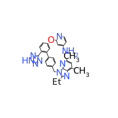 CCc1nc2c(C)cc(C)nc2n1Cc1ccc(-c2cc(Oc3cc(N)ccn3)ccc2-c2nn[nH]n2)cc1